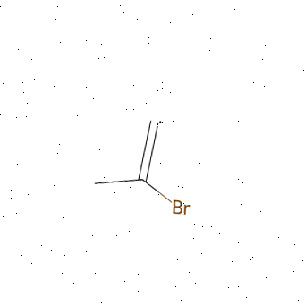 [CH]=C(C)Br